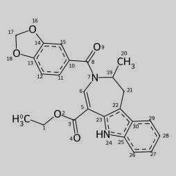 CCOC(=O)C1=CN(C(=O)c2ccc3c(c2)OCO3)C(C)Cc2c1[nH]c1ccccc21